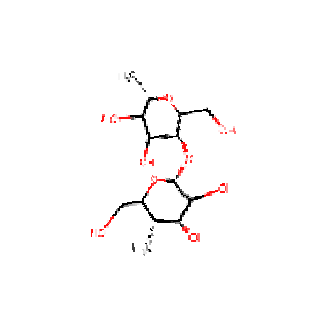 C[C@@H]1OC(CO)[C@@H](O[C@@H]2OC(CO)[C@@H](C)[C@H](O)C2O)C(O)C1O